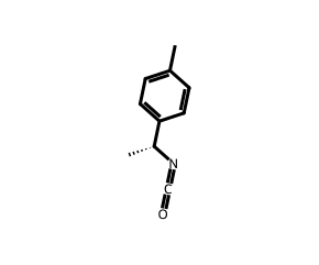 Cc1ccc([C@@H](C)N=C=O)cc1